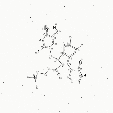 Cc1cc2c(-c3ccc[nH]c3=O)c(C(=O)CCCN(C)C)n(Cc3cc4cn[nH]c4cc3F)c2cc1C